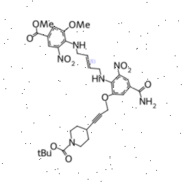 COC(=O)c1cc(OC)c(NC/C=C/CNc2c(OCC#CC3CCN(C(=O)OC(C)(C)C)CC3)cc(C(N)=O)cc2[N+](=O)[O-])c([N+](=O)[O-])c1